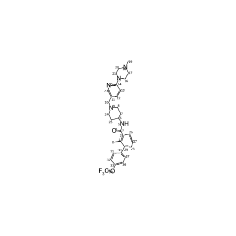 Cc1c(C(=O)NC2CCN(Cc3ccc(N4CCN(C)CC4)nc3)CC2)cccc1-c1ccc(OC(F)(F)F)cc1